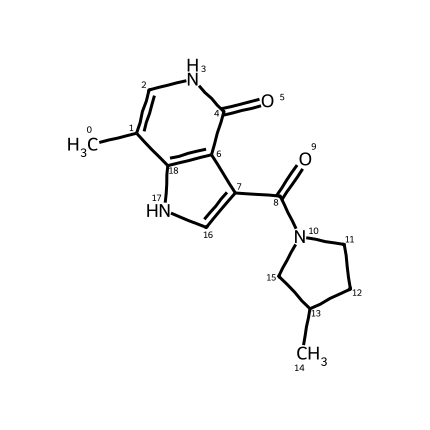 Cc1c[nH]c(=O)c2c(C(=O)N3CCC(C)C3)c[nH]c12